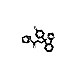 O=C(CCC1(c2ccc(F)cc2)c2ccccc2-c2nccn21)N1CC2CCC1C2